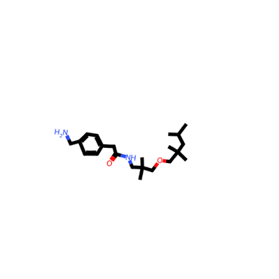 CC(C)CC(C)(C)COCC(C)(C)CNC(=O)Cc1ccc(CN)cc1